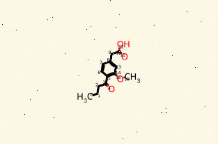 CCCC(=O)c1ccc(CC(=O)O)cc1OC